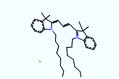 CCCCCCCCN1C(=CC=CC2=[N+](CCCCCCCC)c3ccccc3C2(C)C)C(C)(C)c2ccccc21.[Br-]